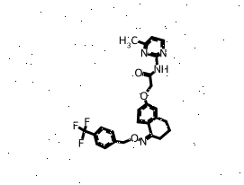 Cc1ccnc(NC(=O)COc2ccc3c(c2)CCC/C3=N/OCc2ccc(C(F)(F)F)cc2)n1